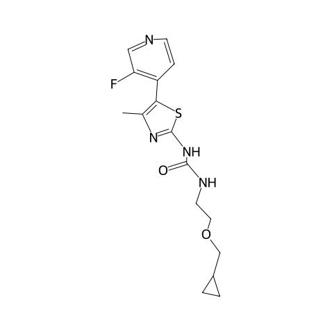 Cc1nc(NC(=O)NCCOCC2CC2)sc1-c1ccncc1F